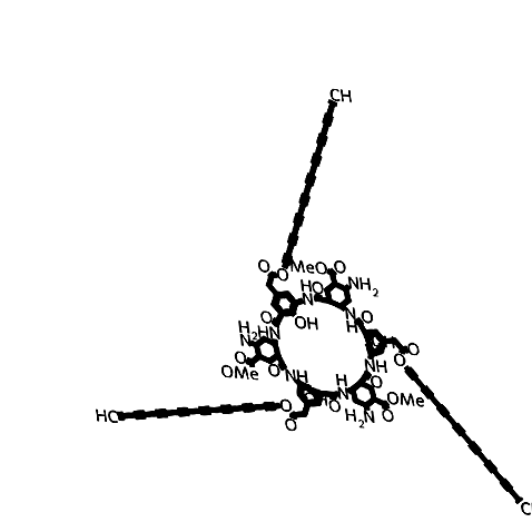 C#CC#CC#CC#CC#CC#CC#CC#CC#COC(=O)Cc1cc2c(O)c(c1)C(=O)NC1CC(N)C(C(=O)OC)CC1C(=O)Nc1cc(CC(=O)OC#CC#CC#CC#CC#CC#CC#CC#C)cc(c1O)C(=O)NC1CC(N)C(C(=O)OC)CC1C(=O)Nc1cc(CC(=O)OC#CC#CC#CC#CC#CC#CC#CC#C)cc(c1O)C(=O)NC1CC(N)C(C(=O)OC)CC1C(=O)N2